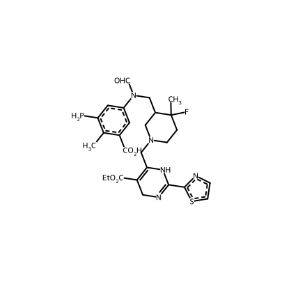 CCOC(=O)C1=C(CN2CCC(C)(F)C(CN(C=O)c3cc(P)c(C)c(C(=O)O)c3)C2)NC(c2nccs2)=NC1